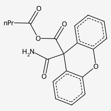 CCCC(=O)OC(=O)C1(C(N)=O)c2ccccc2Oc2ccccc21